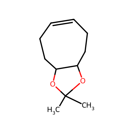 CC1(C)OC2CC/C=C\CCC2O1